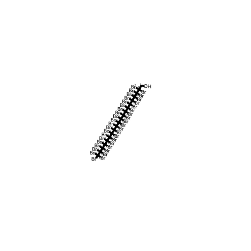 OCC(Br)(Br)C(Br)(Br)C(Br)(Br)C(Br)(Br)C(Br)(Br)C(Br)(Br)C(Br)(Br)C(Br)(Br)C(Br)(Br)C(Br)(Br)C(Br)(Br)C(Br)(Br)C(Br)(Br)C(Br)(Br)C(Br)(Br)C(Br)(Br)C(Br)(Br)C(Br)(Br)C(Br)(Br)Br